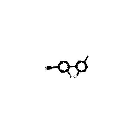 Cc1ccc(Cl)c(-c2ccc(C#N)cc2F)c1